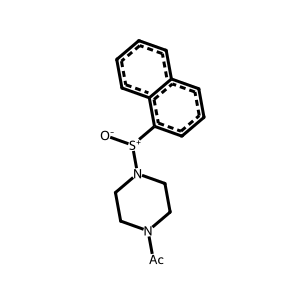 CC(=O)N1CCN([S+]([O-])c2cccc3ccccc23)CC1